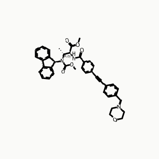 COC(=O)[C@@H](NC(=O)c1ccc(C#Cc2ccc(CN3CCOCC3)cc2)cc1)[C@@H](C)N(C(=O)OC)C1c2ccccc2-c2ccccc21